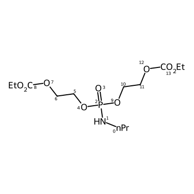 CCCNP(=O)(OCCOC(=O)OCC)OCCOC(=O)OCC